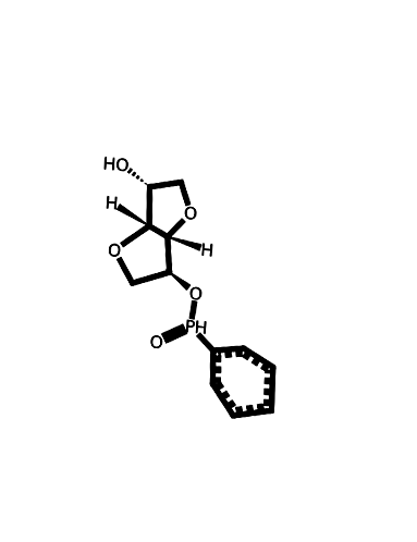 O=[PH](O[C@H]1CO[C@H]2[C@@H]1OC[C@H]2O)c1ccccc1